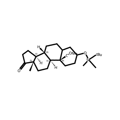 COC[C@]12CCC(O[Si](C)(C)C(C)(C)C)CC1CC[C@@H]1[C@@H]2CC[C@]2(C)C(=O)CC[C@@H]12